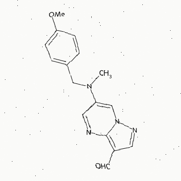 COc1ccc(CN(C)c2cnc3c(C=O)cnn3c2)cc1